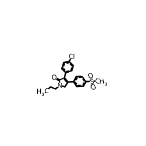 CCCN1CC(c2ccc(S(C)(=O)=O)cc2)=C(c2ccc(Cl)cc2)C1=O